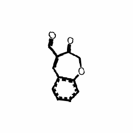 O=CC1=Cc2ccccc2OCC1=O